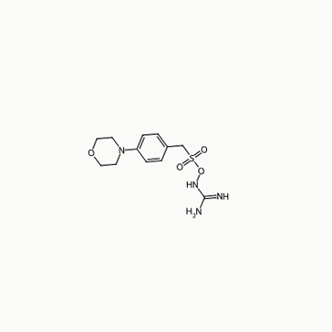 N=C(N)NOS(=O)(=O)Cc1ccc(N2CCOCC2)cc1